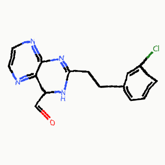 O=CC1NC(CCc2cccc(Cl)c2)=Nc2nccnc21